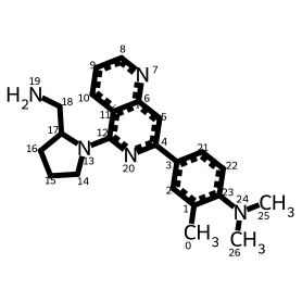 Cc1cc(-c2cc3ncccc3c(N3CCCC3CN)n2)ccc1N(C)C